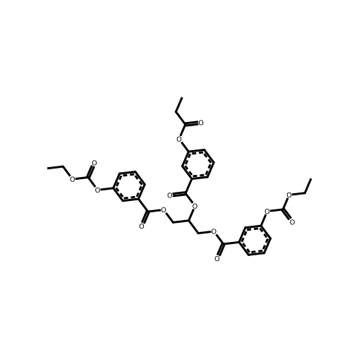 CCOC(=O)Oc1cccc(C(=O)OCC(COC(=O)c2cccc(OC(=O)OCC)c2)OC(=O)c2cccc(OC(=O)CC)c2)c1